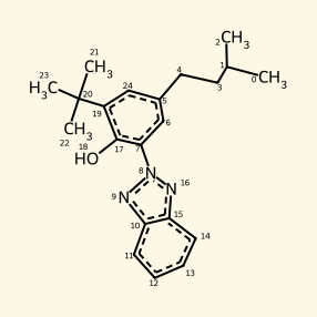 CC(C)CCc1cc(-n2nc3ccccc3n2)c(O)c(C(C)(C)C)c1